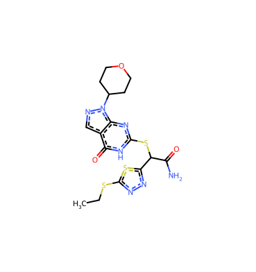 CCSc1nnc(C(Sc2nc3c(cnn3C3CCOCC3)c(=O)[nH]2)C(N)=O)s1